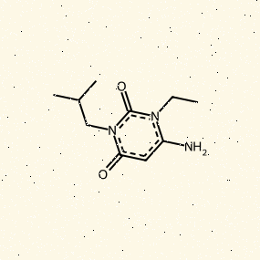 CCn1c(N)cc(=O)n(CC(C)C)c1=O